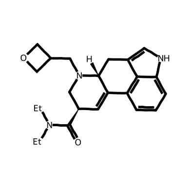 CCN(CC)C(=O)[C@@H]1C=C2c3cccc4[nH]cc(c34)C[C@H]2N(CC2COC2)C1